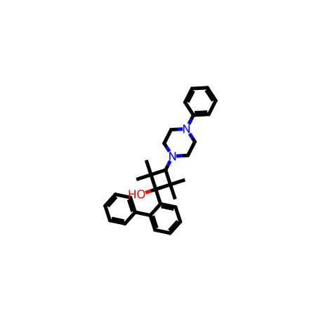 CC1(C)C(N2CCN(c3ccccc3)CC2)C(C)(C)C1(O)c1ccccc1-c1ccccc1